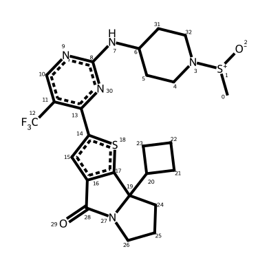 C[S+]([O-])N1CCC(Nc2ncc(C(F)(F)F)c(-c3cc4c(s3)C3(C5CCC5)CCCN3C4=O)n2)CC1